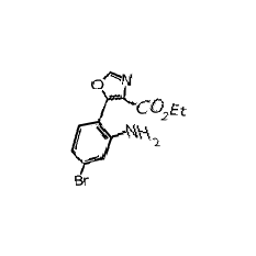 CCOC(=O)c1ncoc1-c1ccc(Br)cc1N